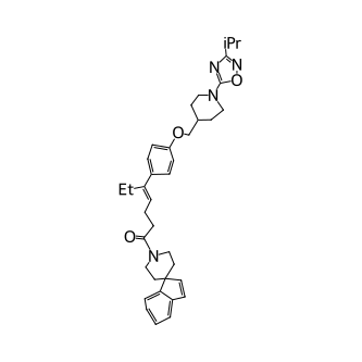 CC/C(=C\CCC(=O)N1CCC2(C=Cc3ccccc32)CC1)c1ccc(OCC2CCN(c3nc(C(C)C)no3)CC2)cc1